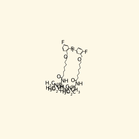 C[N+](C)(C)C[C@@H](CC(=O)O)NC(=O)CCCCCCCOCc1cc(F)ccc1F.C[N+](C)(C)C[C@@H](CC(=O)O)NC(=O)CCCCCCCOCc1ccc(F)cc1F